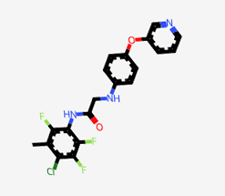 Cc1c(F)c(NC(=O)CNc2ccc(Oc3cccnc3)cc2)c(F)c(F)c1Cl